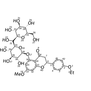 CCOc1ccc(C2CC(=O)c3c(cc(OC)cc3O[C@@H]3O[C@H](C(O)[C@@H]4O[C@H](CO)[C@@H](O)[C@H](O)[C@H]4O)[C@@H](O)[C@H](O)[C@H]3O)O2)cc1